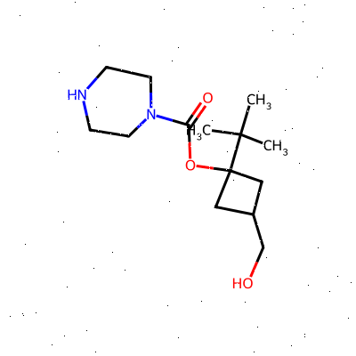 CC(C)(C)C1(OC(=O)N2CCNCC2)CC(CO)C1